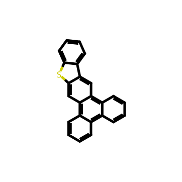 c1ccc2c(c1)sc1cc3c4ccccc4c4ccccc4c3cc12